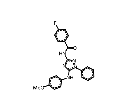 COc1ccc(Nc2nc(NC(=O)c3ccc(F)cc3)nn2-c2ccccc2)cc1